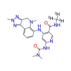 [2H]C([2H])([2H])NC(=O)c1cnc(NC(=O)N(C)C)cc1Nc1cccc2c1N(C)Cc1nn(C)nc1-2